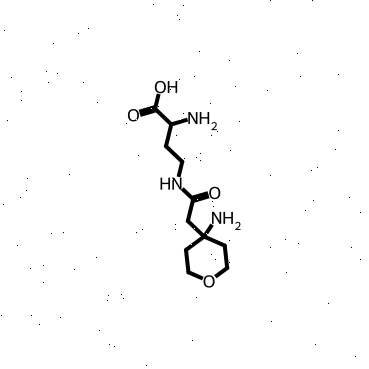 NC(CCNC(=O)CC1(N)CCOCC1)C(=O)O